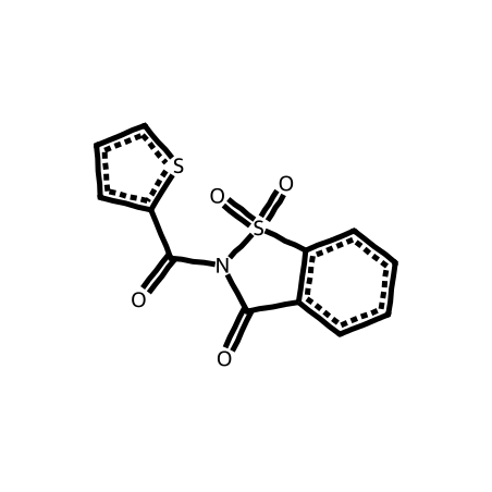 O=C(c1cccs1)N1C(=O)c2ccccc2S1(=O)=O